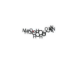 COCC[C@]12CC[C@@](C)(O)C[C@@H]1CC[C@H]1[C@@H]3CC[C@H](C(=O)Cn4nnnc4C)[C@@]3(C)CC[C@@H]12